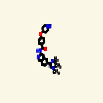 C=N/C(=C\N(C)C)c1ccc2cnc(NC(=O)c3ccc(OC4CCNCC4)cc3)cc2c1